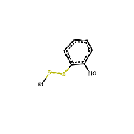 CCSSc1ccccc1N=O